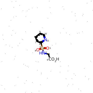 O=C(O)CNS(=O)(=O)c1ccccn1